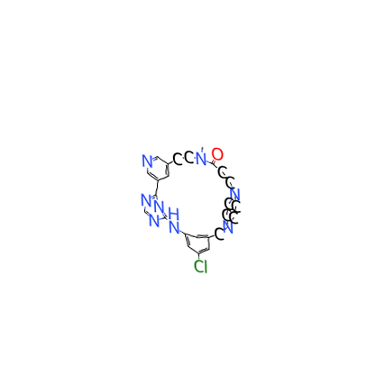 CN1CCc2cncc(c2)-c2ncnc(n2)Nc2cc(Cl)cc(c2)CN2CCN(CCC1=O)CC2